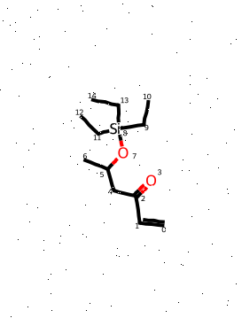 C=CC(=O)CC(C)O[Si](CC)(CC)CC